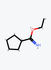 CCOC(=N)C1CCCC1